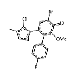 COn1c(-c2ccc(F)cc2)c(-n2ncc(C)c2Cl)cc(Br)c1=O